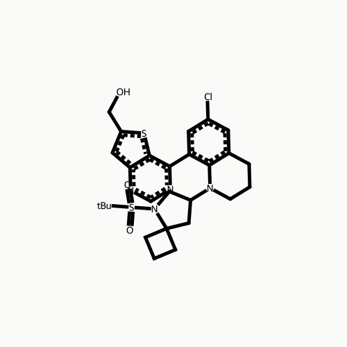 CC(C)(C)S(=O)(=O)N1CC(N2CCCc3cc(Cl)cc(-c4ncnc5cc(CO)sc45)c32)CC12CCC2